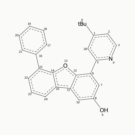 CC(C)(C)c1ccnc(-c2cc(O)cc3c2oc2c(-c4ccccc4)cccc23)c1